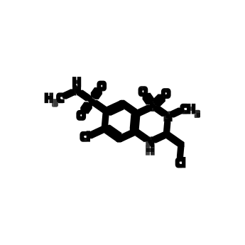 CNS(=O)(=O)c1cc2c(cc1Cl)NC(CCl)N(C)S2(=O)=O